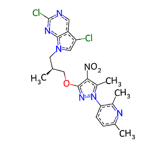 Cc1ccc(-n2nc(OC[C@@H](C)Cn3cc(Cl)c4cnc(Cl)nc43)c([N+](=O)[O-])c2C)c(C)n1